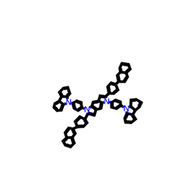 C1=CC2c3ccccc3N(c3ccc(-n4c(-c5ccc(-c6ccc7ccccc7c6)cc5)cc5cc6c(cc(-c7ccc(-c8ccc9ccccc9c8)cc7)n6-c6ccc(-n7c8ccccc8c8ccccc87)cc6)cc54)cc3)C2C=C1